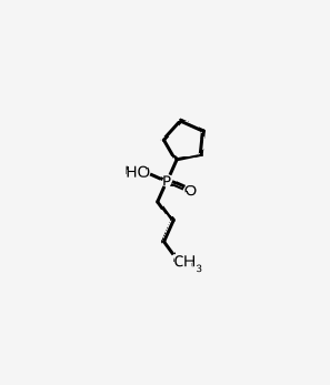 CCCCP(=O)(O)C1CCCC1